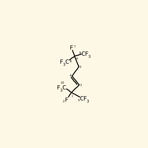 FC(F)(F)C(F)(C=CCC(F)(C(F)(F)F)C(F)(F)F)C(F)(F)F